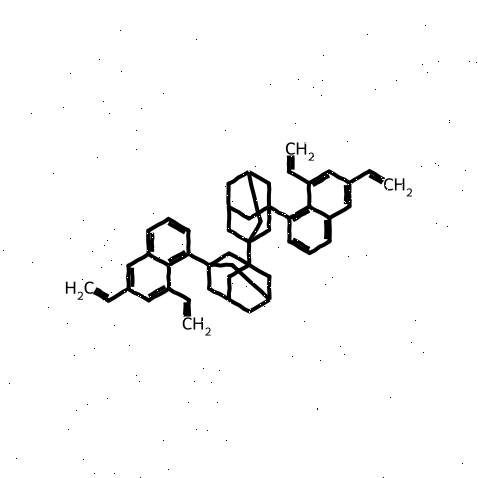 C=Cc1cc(C=C)c2c(C34CC5CC(C3)CC(C36CC7CC(CC(c8cccc9cc(C=C)cc(C=C)c89)(C7)C3)C6)(C5)C4)cccc2c1